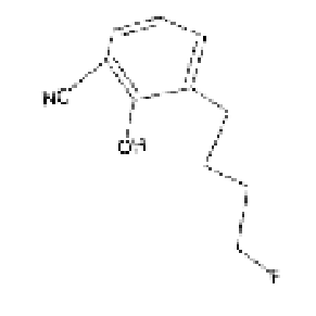 N#Cc1cccc(CCCCF)c1O